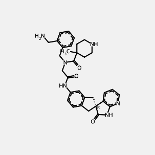 CC1(C(=O)N(CC(=O)Nc2ccc3c(c2)C[C@@]2(C3)C(=O)Nc3ncccc32)Cc2ccccc2CN)CCNCC1